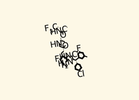 C=C=C(NCC(F)(F)F)OC[C@@H]1CO[C@H](CCc2c(F)cncc2NC(=C=C)[C@@H](N)[C@@H](c2ccc(Cl)cc2)c2cc(C)cc(F)c2)CN1